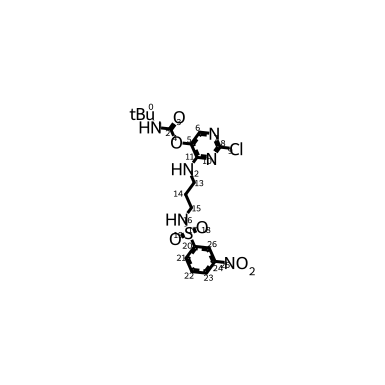 CC(C)(C)NC(=O)Oc1cnc(Cl)nc1NCCCNS(=O)(=O)c1cccc([N+](=O)[O-])c1